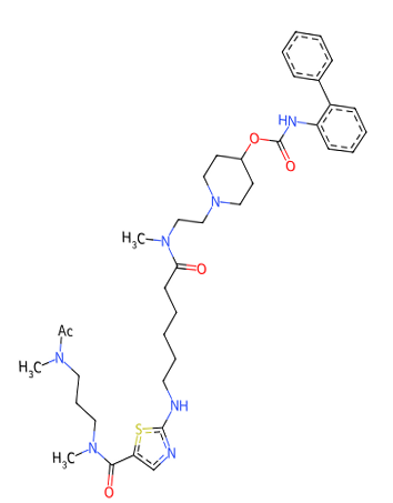 CC(=O)N(C)CCCN(C)C(=O)c1cnc(NCCCCCC(=O)N(C)CCN2CCC(OC(=O)Nc3ccccc3-c3ccccc3)CC2)s1